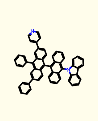 c1ccc(-c2ccc3c(-c4c5ccccc5c(-n5c6ccccc6c6ccccc65)c5ccccc45)c4ccc(-c5ccncc5)cc4c(-c4ccccc4)c3c2)cc1